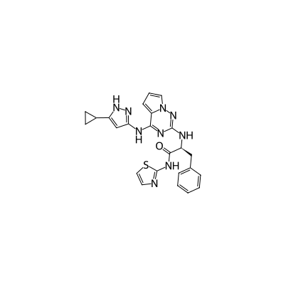 O=C(Nc1nccs1)[C@H](Cc1ccccc1)Nc1nc(Nc2cc(C3CC3)[nH]n2)c2cccn2n1